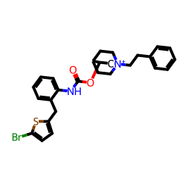 O=C(Nc1ccccc1Cc1ccc(Br)s1)OC1C[N+]2(CCc3ccccc3)CCC1CC2